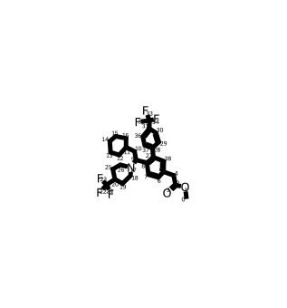 COC(=O)Cc1ccc(C(CC2CCCCC2)N2CCC(C(F)(F)F)CC2)c(-c2ccc(C(F)(F)F)cc2)c1